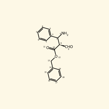 NC(c1ccccc1)[C@@H](C=O)C(=O)OCc1ccccc1